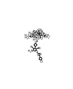 C[C@@H](OC(C)(C)C)[C@H](NC(=O)OC(C)(C)C)C(=O)OC[C@H](COc1ccc(-c2c(C#N)c(N)nc(SCc3coc(-c4ccc(Cl)cc4)n3)c2C#N)cc1)OC(=O)[C@@H](NC(=O)OC(C)(C)C)[C@@H](C)OC(C)(C)C